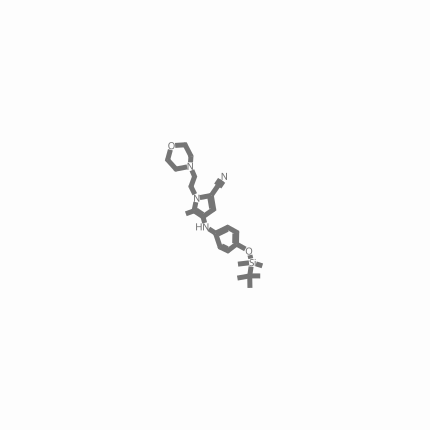 Cc1c(Nc2ccc(O[Si](C)(C)C(C)(C)C)cc2)cc(C#N)n1CCN1CCOCC1